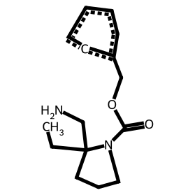 CCC1(CN)CCCN1C(=O)OCc1ccccc1